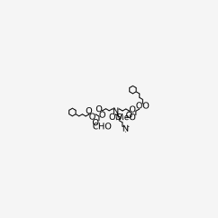 COCC(COC(=O)CCCC1CCCCC1)OC(=O)CCCN(CCCC(=O)OC(COC=O)COC(=O)CCCC1CCCCC1)C(=O)SCCCN(C)C